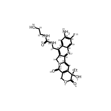 CC[C@@]1(O)C(=O)OCc2c1cc1n(c2=O)Cc2c-1nc1cc(F)c(N)cc1c2CNC(=O)NCCO